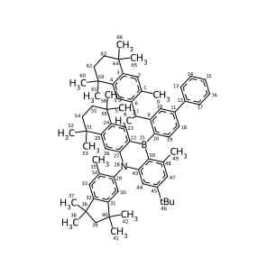 Cc1cc2c(cc1C(C)c1cc(-c3ccccc3)ccc1B1c3cc4c(cc3N(c3cc5c(cc3C)C(C)(C)CC5(C)C)c3cc(C(C)(C)C)cc(C)c31)C(C)(C)CCC4(C)C)C(C)(C)CCC2(C)C